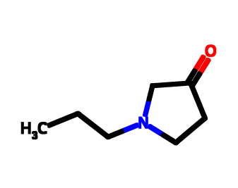 CCCN1CCC(=O)C1